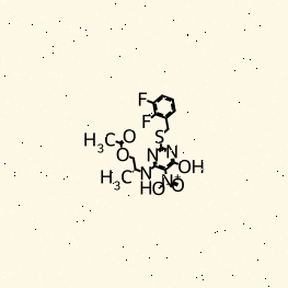 CC(=O)OC[C@@H](C)Nc1nc(SCc2cccc(F)c2F)nc(O)c1[N+](=O)[O-]